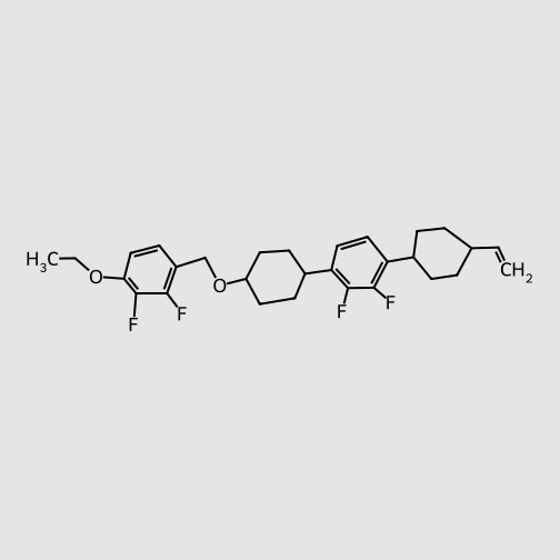 C=CC1CCC(c2ccc(C3CCC(OCc4ccc(OCC)c(F)c4F)CC3)c(F)c2F)CC1